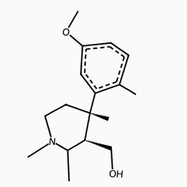 COc1ccc(C)c([C@@]2(C)CCN(C)C(C)[C@@H]2CO)c1